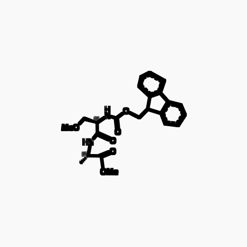 COC[C@@H](NC(=O)OCC1c2ccccc2-c2ccccc21)C(=O)N[C@@H](C)C(=O)OC